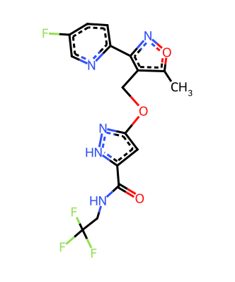 Cc1onc(-c2ccc(F)cn2)c1COc1cc(C(=O)NCC(F)(F)F)[nH]n1